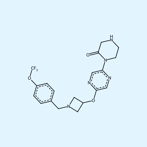 O=C1CNCCN1c1cnc(OC2CN(Cc3ccc(OC(F)(F)F)cc3)C2)cn1